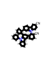 N#Cc1ccc2c(c1)c1ccc(-c3ccccc3-c3cccc4c5ccccc5n(-c5ccccc5)c34)cc1n2-c1ccccc1C#N